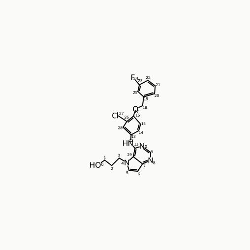 OCCCn1ccc2ncnc(Nc3ccc(OCc4cccc(F)c4)c(Cl)c3)c21